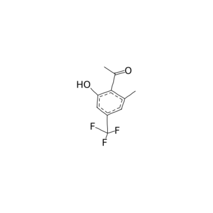 CC(=O)c1c(C)cc(C(F)(F)F)cc1O